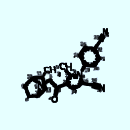 Cc1c(C(=O)CN2C3CCC2[C@@H](C)C3)cc(C#N)n1-c1ccc(C#N)cc1